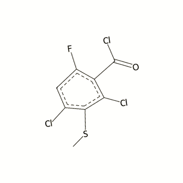 CSc1c(Cl)cc(F)c(C(=O)Cl)c1Cl